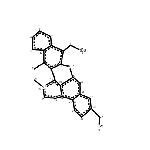 Cc1c2c(c(CC(C)(C)C)c3ccccc13)Sc1cc3cc(CC(C)C)ccc3c3cc[n+](C)c-2c13